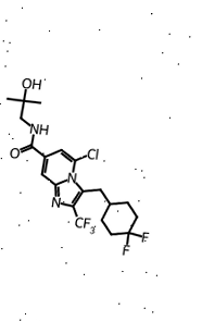 CC(C)(O)CNC(=O)c1cc(Cl)n2c(CC3CCC(F)(F)CC3)c(C(F)(F)F)nc2c1